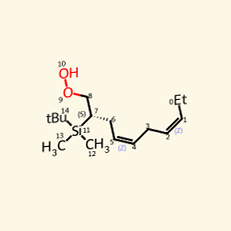 CC/C=C\C/C=C\C[C@@H](COO)[Si](C)(C)C(C)(C)C